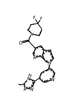 Cc1nnc(-c2cncc(-n3ccc4cc(C(=O)N5CCC(F)(F)CC5)cnc43)c2)[nH]1